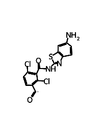 Nc1ccc2nc(NC(=O)c3c(Cl)ccc([C]=O)c3Cl)sc2c1